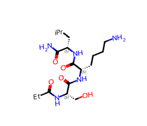 CCC(=O)N[C@@H](CO)C(=O)N[C@@H](CCCCN)C(=O)N[C@@H](CC(C)C)C(N)=O